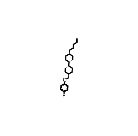 C=CCCC[C@H]1CC[C@H]([C@H]2CC[C@H](COc3ccc(F)cc3)CC2)CC1